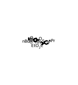 CCCCN(C)S(=O)(=O)c1ccc(C(=O)Nc2sc3c(c2C(=O)OCC)CCN(CCC)C3)cc1